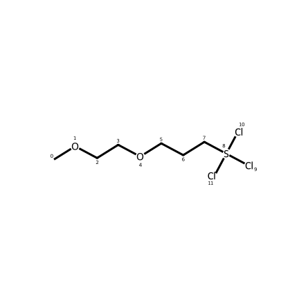 COCCOCCCS(Cl)(Cl)Cl